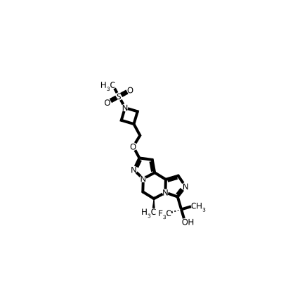 C[C@H]1Cn2nc(OCC3CN(S(C)(=O)=O)C3)cc2-c2cnc([C@@](C)(O)C(F)(F)F)n21